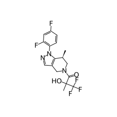 C[C@H]1CN(C(=O)C(C)(O)C(F)(F)F)Cc2cnn(-c3ccc(F)cc3F)c21